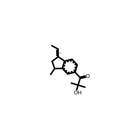 C/C=C1\CC(C)c2cc(C(=O)C(C)(C)O)ccc21